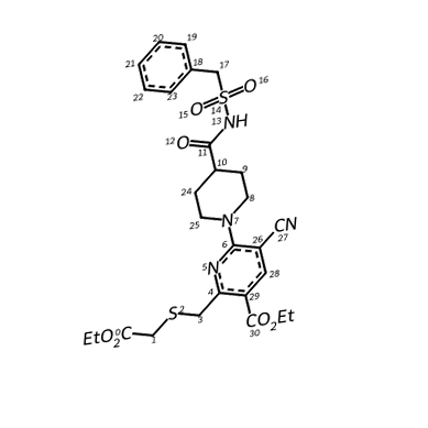 CCOC(=O)CSCc1nc(N2CCC(C(=O)NS(=O)(=O)Cc3ccccc3)CC2)c(C#N)cc1C(=O)OCC